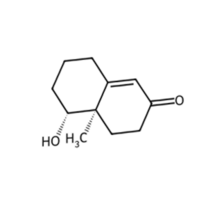 C[C@@]12CCC(=O)C=C1CCC[C@H]2O